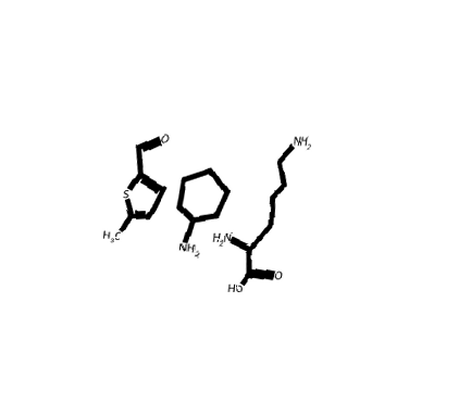 Cc1ccc(C=O)s1.NC1CCCCC1.NCCCCC(N)C(=O)O